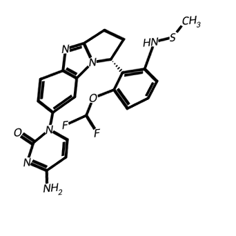 CSNc1cccc(OC(F)F)c1[C@H]1CCc2nc3ccc(-n4ccc(N)nc4=O)cc3n21